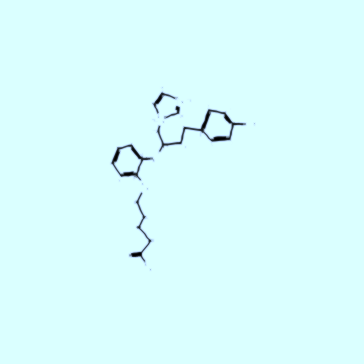 NC(=O)CCCCNc1ccccc1OC(CCc1ccc(Cl)cc1)Cn1ccnc1